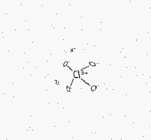 [K+].[O-][Cl+3]([O-])([O-])[O-].[Zr]